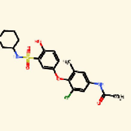 Cc1cc(NC(=O)C(=O)O)cc(Cl)c1Oc1ccc(O)c(S(=O)(=O)NC2CCCCC2)c1